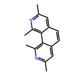 Cc1cc2ccc3cc(C)nc(C)c3c2c(C)n1